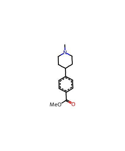 COC(=O)c1ccc(C2CCN(C)CC2)cc1